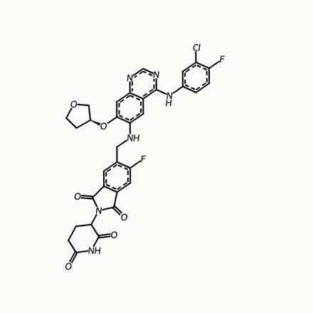 O=C1CCC(N2C(=O)c3cc(F)c(CNc4cc5c(Nc6ccc(F)c(Cl)c6)ncnc5cc4O[C@H]4CCOC4)cc3C2=O)C(=O)N1